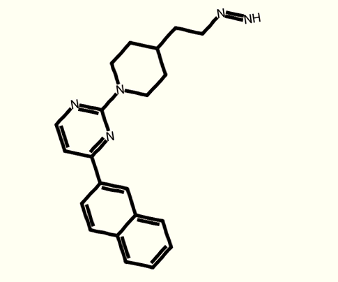 N=NCCC1CCN(c2nccc(-c3ccc4ccccc4c3)n2)CC1